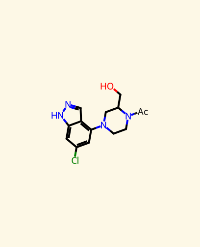 CC(=O)N1CCN(c2cc(Cl)cc3[nH]ncc23)CC1CO